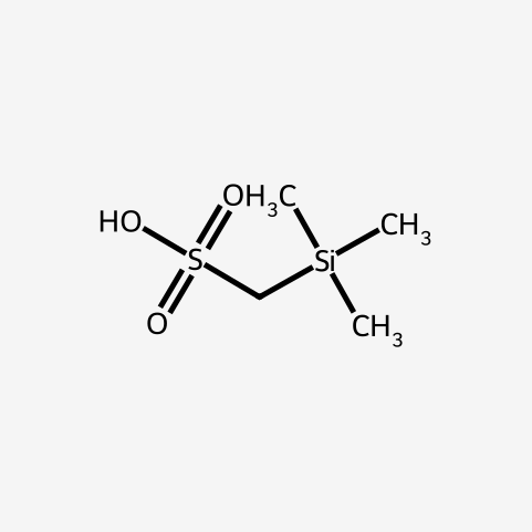 C[Si](C)(C)CS(=O)(=O)O